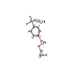 CC(C)(C(=O)O)c1ccc(OCC2CO2)cc1